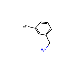 [CH2]CCc1cccc(CN)c1